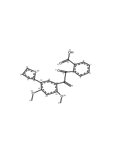 C=C(C(=O)c1ccccc1C(=O)O)c1cc(-c2cccs2)c(OC)cc1OC